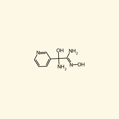 NC(=NO)C(N)(O)c1cccnc1